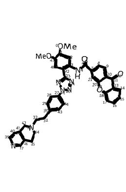 COc1cc(NC(=O)c2ccc3c(=O)c4ccccc4oc3c2)c(-c2nnn(-c3ccc(CCN4CCc5cnccc5C4)cc3)n2)cc1OC